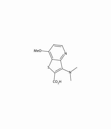 COc1ccnc2c(N(C)C)c(C(=O)O)sc12